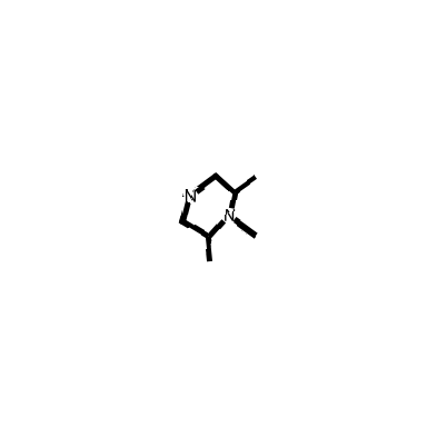 CC1C[N]CC(C)N1C